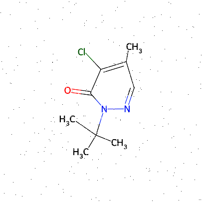 Cc1cnn(C(C)(C)C)c(=O)c1Cl